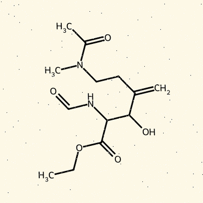 C=C(CCN(C)C(C)=O)C(O)C(NC=O)C(=O)OCC